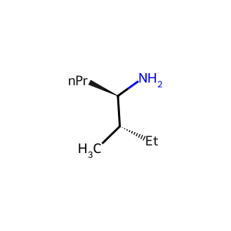 CCC[C@@H](N)[C@@H](C)CC